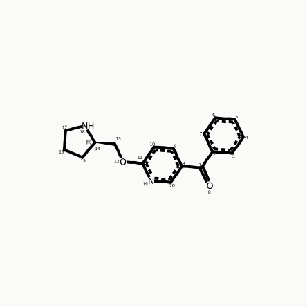 O=C(c1ccccc1)c1ccc(OC[C@H]2CCCN2)nc1